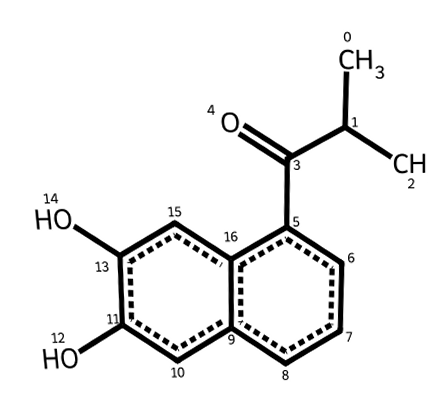 CC(C)C(=O)c1cccc2cc(O)c(O)cc12